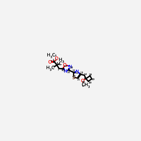 COC(=O)C(C)(C)Cc1nc(-c2nc(CC3(OC)CCC3)cs2)no1